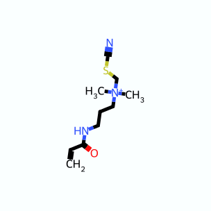 C=CC(=O)NCCC[N+](C)(C)CSC#N